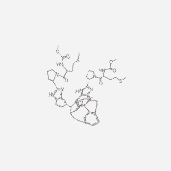 COC(=O)NC(CCSC)C(=O)N1CCCC1c1nc2cc(-c3cc4ccc3CCC3=CC(c5ccc6[nH]c(C7CCCN7C(=O)C(CCSC)NC(=O)OC)nc6c5)C(C=C3)CC4)ccc2[nH]1